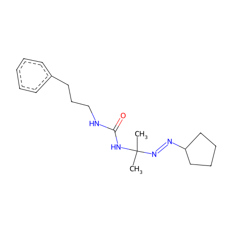 CC(C)(N=NC1CCCC1)NC(=O)NCCCc1ccccc1